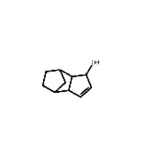 OC1C=CC2C3CCC(C3)C12